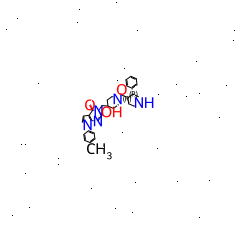 Cc1ccc(-n2ccc3c(=O)n(CC4(O)CCN(C(=O)[C@@H]5CCNC[C@H]5c5ccccc5)CC4)cnc32)cc1